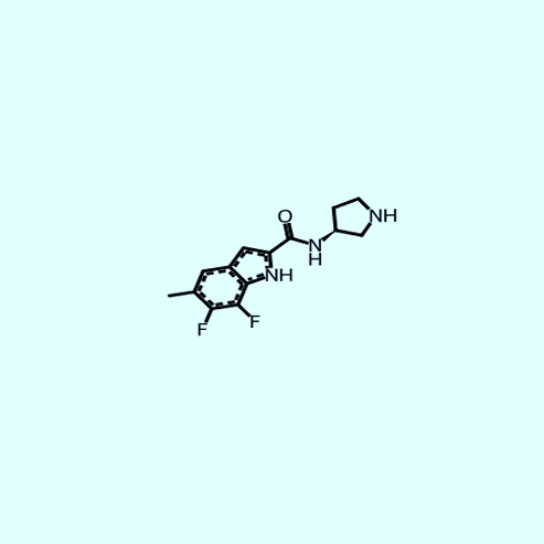 Cc1cc2cc(C(=O)N[C@H]3CCNC3)[nH]c2c(F)c1F